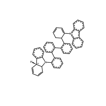 C1=CCC(c2ccccc2-c2ccccc2-c2ccccc2N2c3ccccc3[C@H]3C=CC=CC32)C(n2c3ccccc3c3ccccc32)=C1